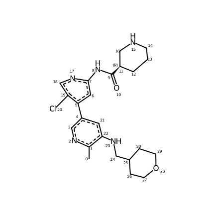 Cc1ncc(-c2cc(NC(=O)[C@@H]3CCCNC3)ncc2Cl)cc1NCC1CCOCC1